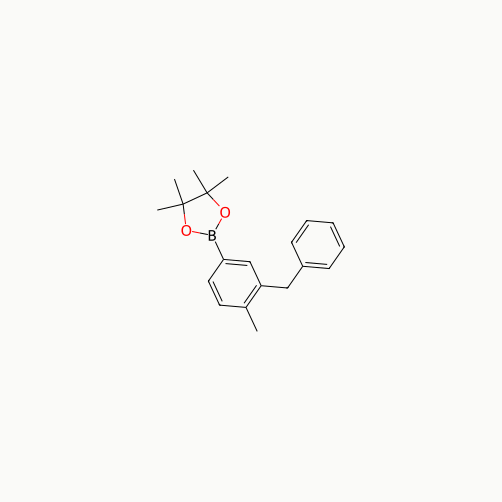 Cc1ccc(B2OC(C)(C)C(C)(C)O2)cc1Cc1ccccc1